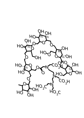 CC1OC(COCC2C(COC(=O)CN(CCN(CCN(CC(=O)O)CC(=O)O)CC(=O)O)CC(=O)O)OC(COCC3C(CO)OC(OCC4OC(COCC5C(COO)OC(COCC6C(CO)OC(O)[C@@H](O)[C@@H]6O)[C@@H](O)[C@@H]5O)[C@@H](O)[C@H](O)C4O)[C@@H](O)[C@@H]3O)[C@@H](O)[C@@H]2O)[C@@H](O)[C@H](O)C1O